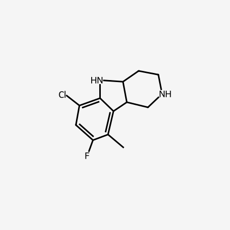 Cc1c(F)cc(Cl)c2c1C1CNCCC1N2